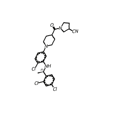 C[C@@H](Nc1cc(N2CCC(C(=O)N3CCC(C#N)C3)CC2)ccc1Cl)c1ccc(Cl)cc1Cl